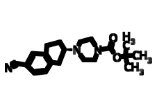 CC(C)(C)OC(=O)N1CCN([C@H]2CCc3cc(C#N)ccc3C2)CC1